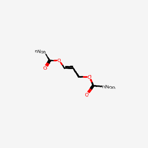 CCCCCCCCCC(=O)OC=CCOC(=O)CCCCCCCCC